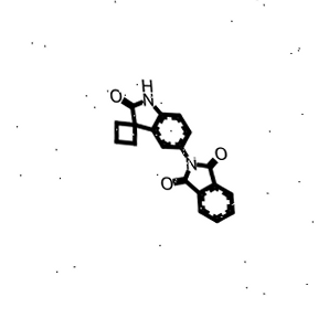 O=C1c2ccccc2C(=O)N1c1ccc2c(c1)C1(CCC1)C(=O)N2